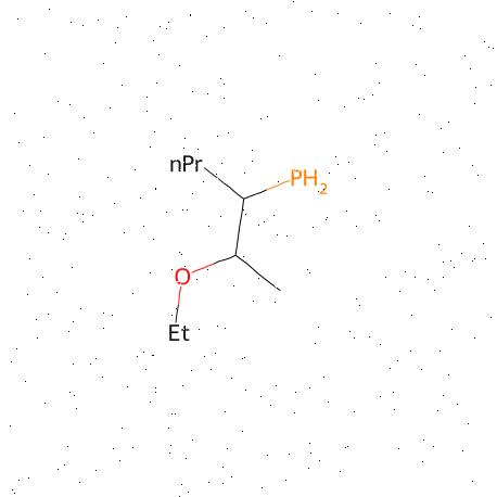 CCCC(P)C(C)OCC